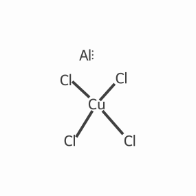 [Al].[Cl][Cu]([Cl])([Cl])[Cl]